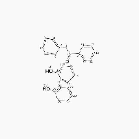 O=C(Cc1ccccc1)c1ccccc1.Oc1ccccc1.Oc1ccccc1